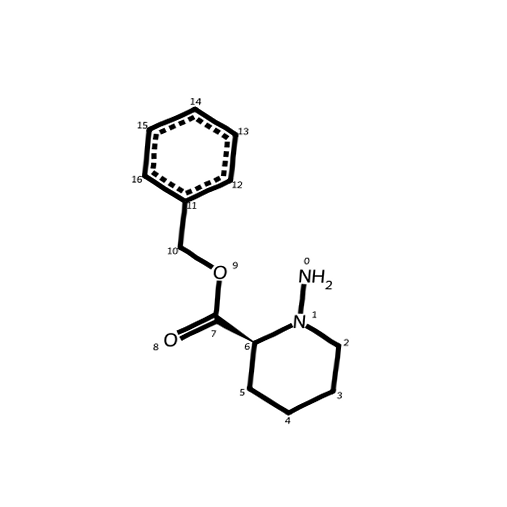 NN1CCCC[C@H]1C(=O)OCc1ccccc1